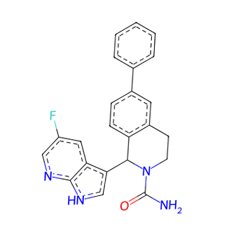 NC(=O)N1CCc2cc(-c3ccccc3)ccc2C1c1c[nH]c2ncc(F)cc12